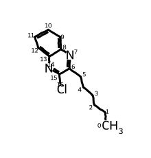 CCCCCCc1nc2ccccc2nc1Cl